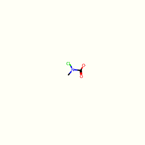 CN(Cl)C([O])=O